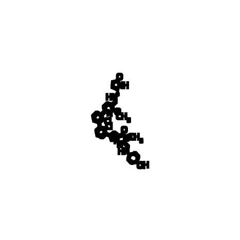 COc1nc(-c2cccc(-c3cccc(-c4cc5c(=O)n(C)c(CN[C@H]6CC[C@H](O)CC6)nn5c4)c3Cl)c2Cl)ccc1CNC[C@H]1CCC(=O)N1